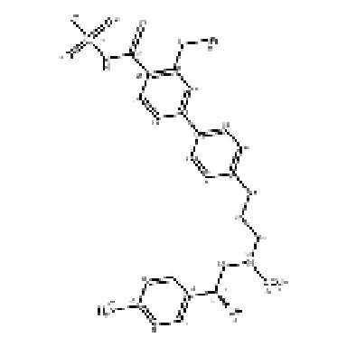 CC(C)Cc1cc(-c2ccc(CCCN(C[C@@H](O)c3ccc(N)cc3)C(=O)O)cc2)ccc1C(=O)NS(C)(=O)=O